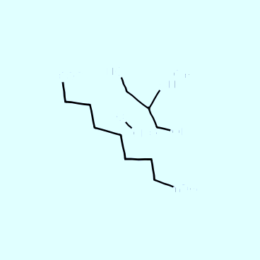 CCCCCCCCCCCCCCCCCC(=O)[O-].O=C[O-].OCC(O)CO.[Ca+2]